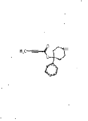 CC#CC(=O)OC1(c2ccccc2)CCNCC1